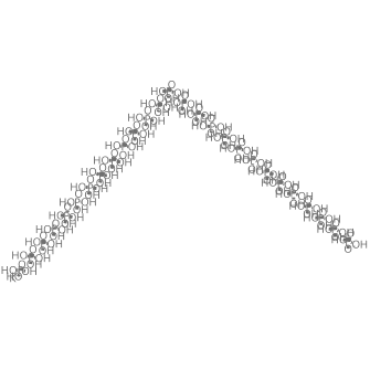 O=P(O)(O)O.O=P(O)(O)O.O=P(O)(O)O.O=P(O)(O)O.O=P(O)(O)O.O=P(O)(O)O.O=P(O)(O)O.O=P(O)(O)O.O=P(O)(O)O.O=P(O)(O)O.O=P(O)(O)O.O=P(O)(O)O.O=P(O)(O)O.O=P(O)(O)O.O=P(O)(O)O.O=P(O)(O)O.O=P(O)(O)O.O=P(O)(O)O.O=P(O)(O)O.O=P(O)(O)O.O=P(O)(O)O.O=P(O)(O)O.O=P(O)(O)O.O=P(O)(O)O.O=P(O)(O)O.O=P(O)(O)O.O=P([O-])(O)O.[K+]